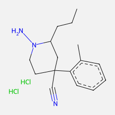 CCCC1CC(C#N)(c2ccccc2C)CCN1N.Cl.Cl